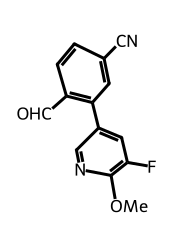 COc1ncc(-c2cc(C#N)ccc2C=O)cc1F